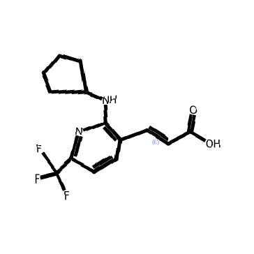 O=C(O)/C=C/c1ccc(C(F)(F)F)nc1NC1CCCC1